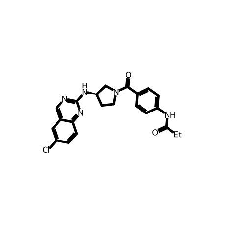 CCC(=O)Nc1ccc(C(=O)N2CC[C@@H](Nc3ncc4cc(Cl)ccc4n3)C2)cc1